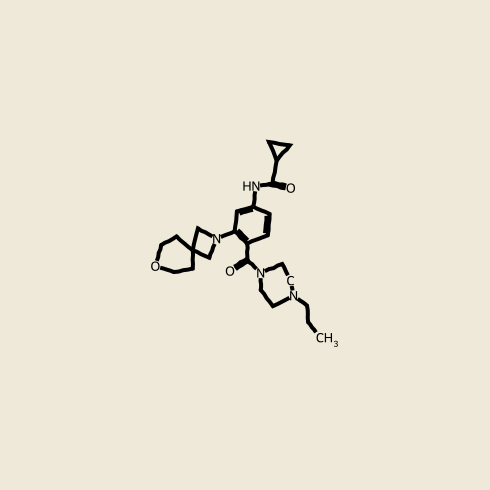 CCCN1CCN(C(=O)c2ccc(NC(=O)C3CC3)cc2N2CC3(CCOCC3)C2)CC1